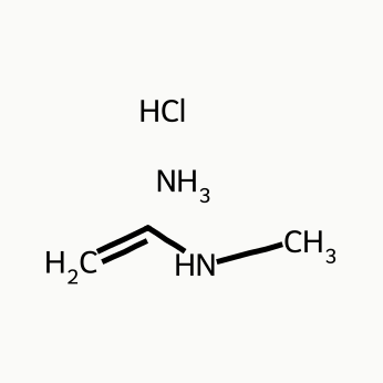 C=CNC.Cl.N